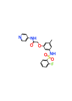 Cc1cc(NS(=O)(=O)c2ccccc2F)cc(OCC(=O)Nc2ccncc2)c1